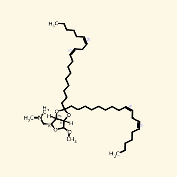 CCCCC/C=C\C/C=C\CCCCCCCCC1(CCCCCCCC/C=C\C/C=C\CCCCC)O[C@H]2[C@H](CN(C)C)OC(OC)[C@H]2O1